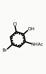 CC(=O)Nc1cc(Br)cc(Cl)c1O